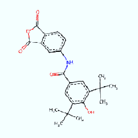 CC(C)(C)c1cc(C(=O)Nc2ccc3c(c2)C(=O)OC3=O)cc(C(C)(C)C)c1O